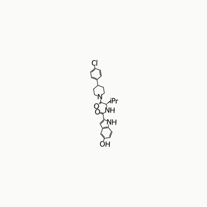 CC(C)[C@@H](NC(=O)c1cc2cc(O)ccc2[nH]1)C(=O)N1CCC(c2ccc(Cl)cc2)CC1